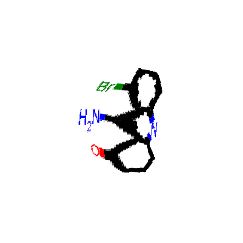 Nc1c2c(nc3cccc(Br)c13)CCCC2=O